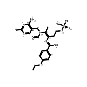 CCOc1ccc(/C(O)=[SH]/C(CCOP(=O)(O)O)=C(/C)N(C=O)Cc2cnc(C)nc2N)cc1